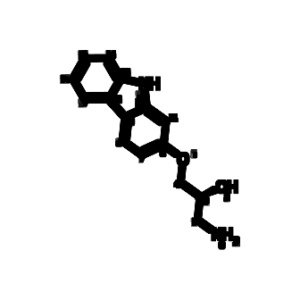 NC[C@H](O)COc1ccc2c(c1)[nH]c1ccccc12